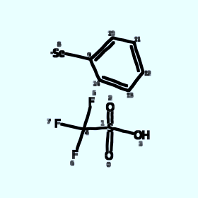 O=S(=O)(O)C(F)(F)F.[Se]c1ccccc1